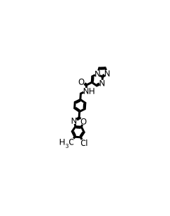 Cc1cc2nc(-c3ccc(CNC(=O)c4cnc5nccn5c4)cc3)oc2cc1Cl